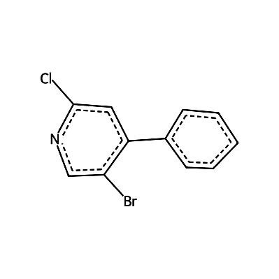 Clc1cc(-c2ccccc2)c(Br)cn1